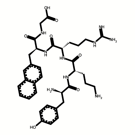 N=C(N)NCCC[C@H](NC(=O)[C@H](CCCN)NC(=O)[C@H](N)Cc1ccc(O)cc1)C(=O)N[C@@H](Cc1ccc2ccccc2c1)C(=O)NCC(=O)O